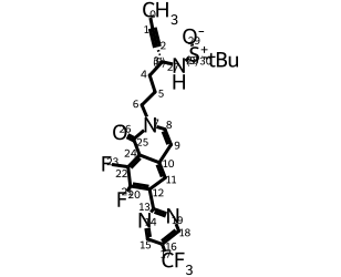 CC#C[C@@H](CCCn1ccc2cc(-c3ncc(C(F)(F)F)cn3)c(F)c(F)c2c1=O)N[S@+]([O-])C(C)(C)C